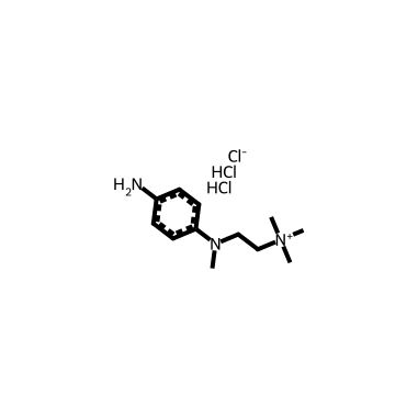 CN(CC[N+](C)(C)C)c1ccc(N)cc1.Cl.Cl.[Cl-]